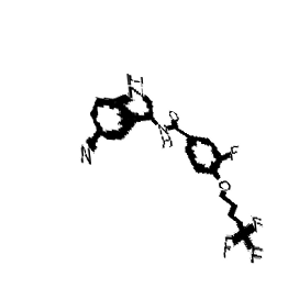 N#Cc1ccc2[nH]cc(NC(=O)c3ccc(OCCCC(F)(F)F)c(F)c3)c2c1